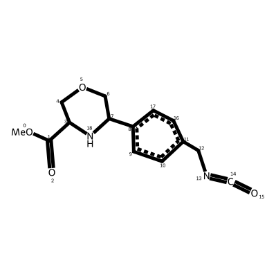 COC(=O)C1COCC(c2ccc(CN=C=O)cc2)N1